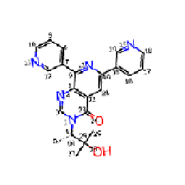 C[C@H](n1cnc2c(-c3cccnc3)nc(-c3cccnc3)cc2c1=O)C(C)(C)O